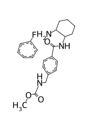 COC(=O)NCc1ccc(C(=O)NC2CCCCC2N)cc1.Fc1ccccc1